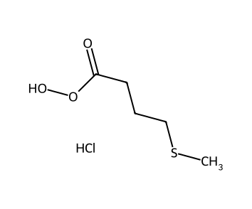 CSCCCC(=O)OO.Cl